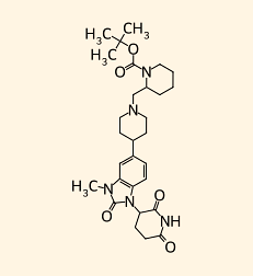 Cn1c(=O)n(C2CCC(=O)NC2=O)c2ccc(C3CCN(CC4CCCCN4C(=O)OC(C)(C)C)CC3)cc21